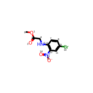 COC(=O)CNc1ccc(Br)cc1[N+](=O)[O-]